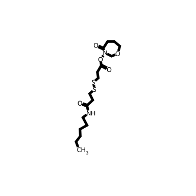 CCCCCCNC(=O)CCSSCCC(=O)ON1COCCCC1=O